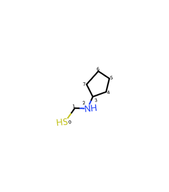 SCNC1CCCC1